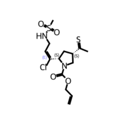 C=CCOC(=O)N1C[C@@H](C(C)=S)C[C@H]1/C(Cl)=C\CNS(C)(=O)=O